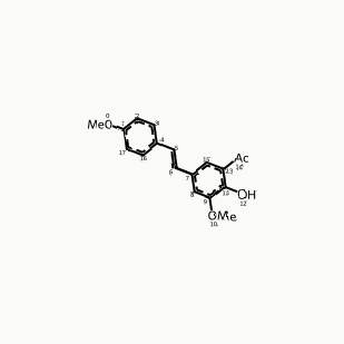 COc1ccc(/C=C/c2cc(OC)c(O)c(C(C)=O)c2)cc1